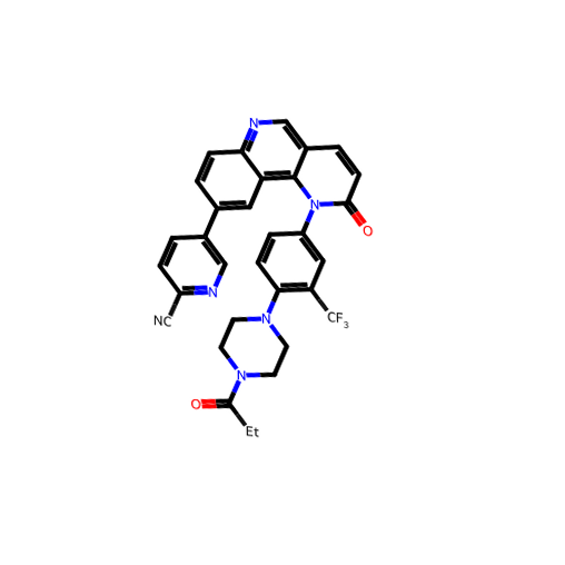 CCC(=O)N1CCN(c2ccc(-n3c(=O)ccc4cnc5ccc(-c6ccc(C#N)nc6)cc5c43)cc2C(F)(F)F)CC1